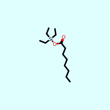 CCCCCCCC(=O)O[Si](CC)(CC)CC